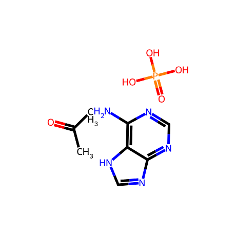 CC(C)=O.Nc1ncnc2nc[nH]c12.O=P(O)(O)O